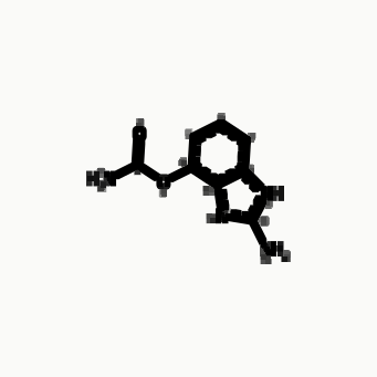 NC(=O)Oc1cccc2[nH]c(N)nc12